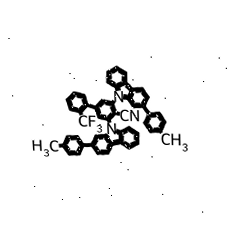 Cc1ccc(-c2ccc3c4ccccc4n(-c4cc(-c5ccccc5C(F)(F)F)cc(-n5c6ccccc6c6ccc(-c7ccc(C)cc7)cc65)c4C#N)c3c2)cc1